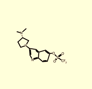 CN(C)[C@H]1CCN(c2cnc3ccc(OS(=O)(=O)C(F)(F)F)cc3c2)C1